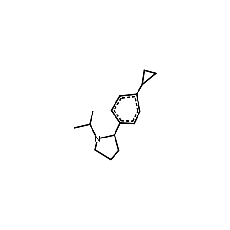 CC(C)N1CCCC1c1ccc(C2CC2)cc1